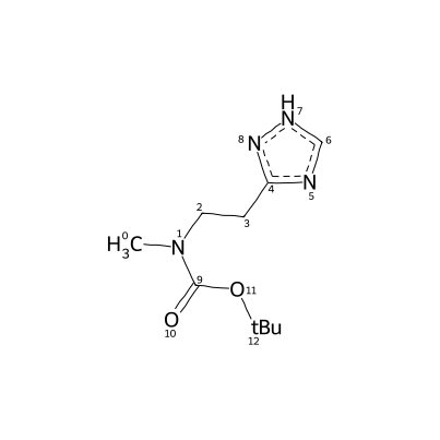 CN(CCc1nc[nH]n1)C(=O)OC(C)(C)C